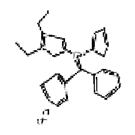 CCC1=C(CC)C[C]([Ti+2]([C]2=CC=CC2)=[C](c2ccccc2)c2ccccc2)=C1.[Cl-].[Cl-]